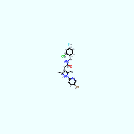 Cc1nn(-c2ccc(Br)cn2)c(C)c1CC(=O)NCc1ccc(F)cc1Cl